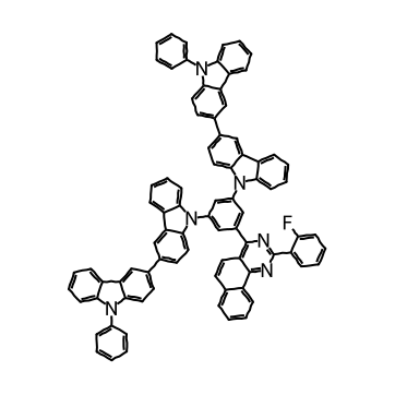 Fc1ccccc1-c1nc(-c2cc(-n3c4ccccc4c4cc(-c5ccc6c(c5)c5ccccc5n6-c5ccccc5)ccc43)cc(-n3c4ccccc4c4cc(-c5ccc6c(c5)c5ccccc5n6-c5ccccc5)ccc43)c2)c2ccc3ccccc3c2n1